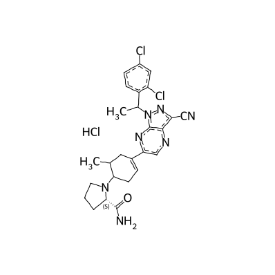 CC1CC(c2cnc3c(C#N)nn(C(C)c4ccc(Cl)cc4Cl)c3n2)=CCC1N1CCC[C@H]1C(N)=O.Cl